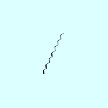 C=CC=CCCC=CCCCCCCC